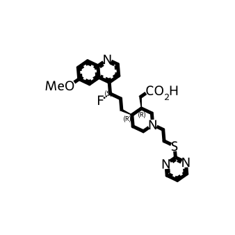 COc1ccc2nccc([C@@H](F)CC[C@@H]3CCN(CCSc4ncccn4)C[C@@H]3CC(=O)O)c2c1